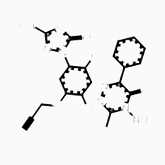 C#CCOc1cc(-n2nc(C(C)(C)C)oc2=O)c(Cl)cc1Cl.Cc1nnc(-c2ccccc2)c(=O)n1N